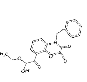 CCOC(O)C(=O)c1cccc2c1oc(=O)c(=O)n2Cc1ccccc1